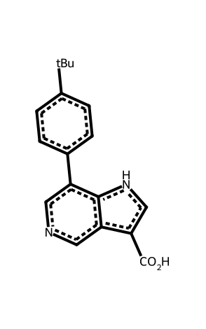 CC(C)(C)c1ccc(-c2cncc3c(C(=O)O)c[nH]c23)cc1